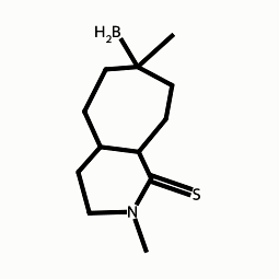 BC1(C)CCC2CCN(C)C(=S)C2CC1